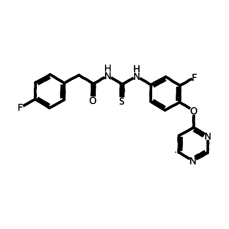 O=C(Cc1ccc(F)cc1)NC(=S)Nc1ccc(Oc2c[c]ncn2)c(F)c1